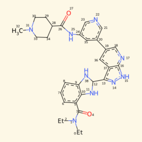 CCN(CC)C(=O)c1cccc2c1NC(c1n[nH]c3ncc(-c4cncc(NC(=O)C5CCN(C)CC5)c4)cc13)N2